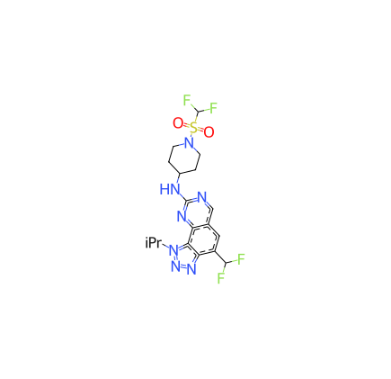 CC(C)n1nnc2c(C(F)F)cc3cnc(NC4CCN(S(=O)(=O)C(F)F)CC4)nc3c21